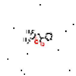 CCC(C)CC(C(=O)O)c1ccccc1